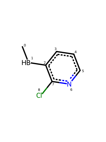 CBc1cccnc1Cl